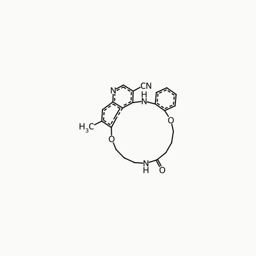 Cc1cc2ncc(C#N)c3c2cc1OCCCNC(=O)CCCOc1ccccc1N3